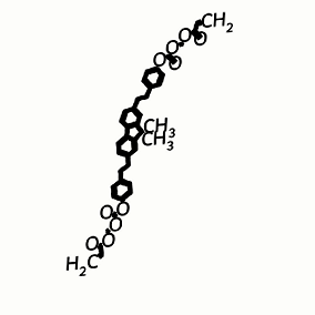 C=CC(=O)OCOC(=O)Oc1ccc(CCc2ccc3c(c2)C(C)(C)c2cc(CCc4ccc(OC(=O)OCOC(=O)C=C)cc4)ccc2-3)cc1